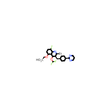 CCc1nc2c(F)ccc(OCC(=O)O)c2c(OC(F)F)c1Cc1ccc(-c2ncccn2)cc1